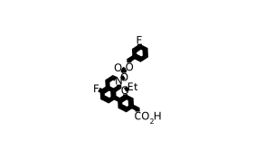 CCOc1cc(CC(=O)O)ccc1-c1ccc(F)c2c1CN(OC(=O)OCc1cccc(F)c1)CC2